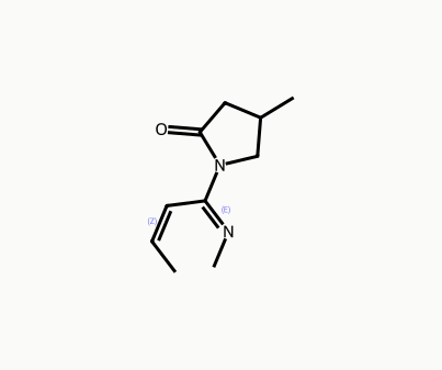 C/C=C\C(=N/C)N1CC(C)CC1=O